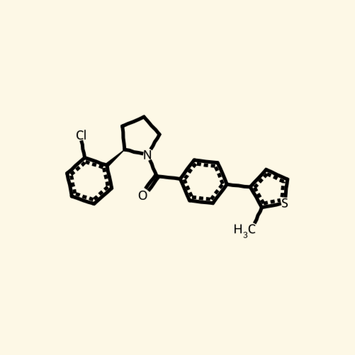 Cc1sccc1-c1ccc(C(=O)N2CCC[C@@H]2c2ccccc2Cl)cc1